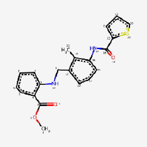 COC(=O)c1ccccc1NCc1cccc(NC(=O)c2cccs2)c1C